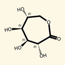 O=C1OC[C@@H](O)[C@H](O)[C@H](O)[C@H]1O